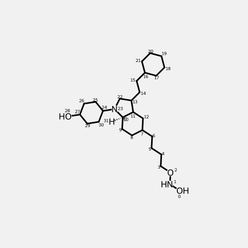 ONOCCCCC1CC[C@@H]2C(C1)C(CCC1CCCCC1)CN2C1CCC(O)CC1